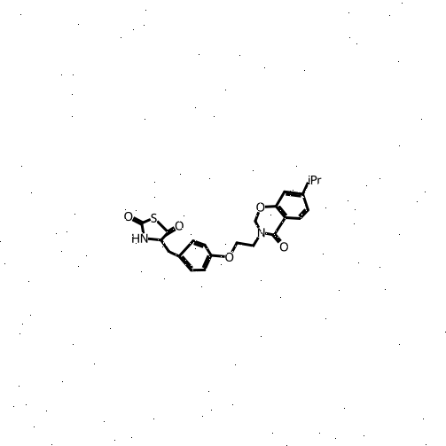 CC(C)c1ccc2c(c1)OCN(CCOc1ccc(CC3NC(=O)SC3=O)cc1)C2=O